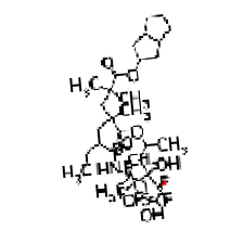 CCC(CC(C)(CC(C)(C)C(=O)OC1CC2CCCC2C1)C(=O)OC(C)CC(O)(C(F)(F)F)C(F)(F)F)C(=O)NC(C)(C)CS(=O)(=O)O